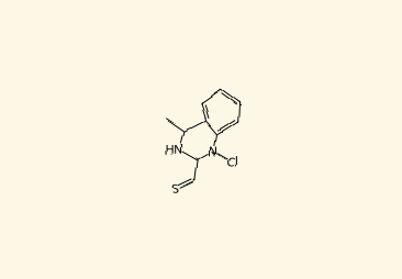 CC1NC(C=S)N(Cl)c2ccccc21